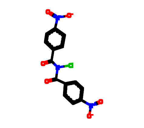 O=C(c1ccc([N+](=O)[O-])cc1)N(Cl)C(=O)c1ccc([N+](=O)[O-])cc1